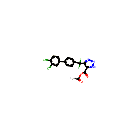 O=C(OC(=O)C(F)(F)F)c1[nH]nnc1C(F)(F)c1ccc(-c2ccc(Cl)c(Cl)c2)cc1